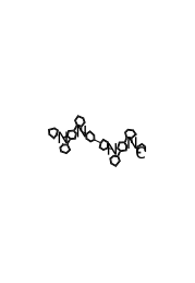 c1ccc(-n2c3ccccc3c3cc4c(cc32)c2ccccc2n4-c2ccc(-c3ccc(-n4c5ccccc5c5cc6c(cc54)c4ccccc4n6-c4ccccc4)cc3)cc2)cc1